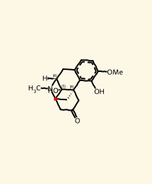 COc1ccc2c(c1O)[C@]13CCN(C)[C@H](C2)[C@]1(O)CCC(=O)C3